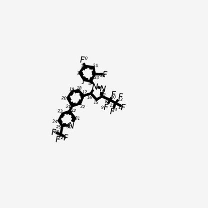 Fc1ccc(N2N=C(C(F)(F)C(F)(F)F)CC2c2cccc(-c3ccc(C(F)(F)F)nc3)c2)c(F)c1